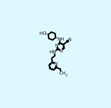 CCc1cccc(CCNc2ncc(C#N)c(N[C@H]3CC[C@@H](O)CC3)n2)n1